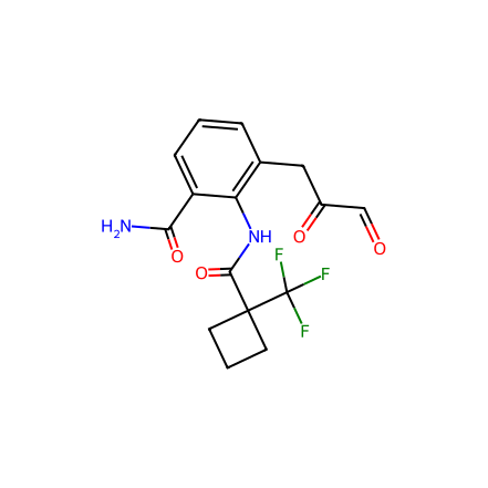 NC(=O)c1cccc(CC(=O)C=O)c1NC(=O)C1(C(F)(F)F)CCC1